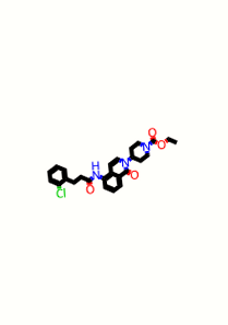 CCOC(=O)N1CCC(n2ccc3c(NC(=O)CCc4ccccc4Cl)cccc3c2=O)CC1